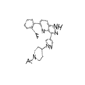 CC(=O)N1CCC(n2cc(-c3n[nH]c4ccc(-c5ccccc5F)nc34)cn2)CC1